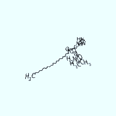 CCCCCCCCCCCCCCCCCCCCCC(=O)OCC(COC(=O)[C@@H](N)C(C)C)OCc1ncc2[nH]cnc2n1